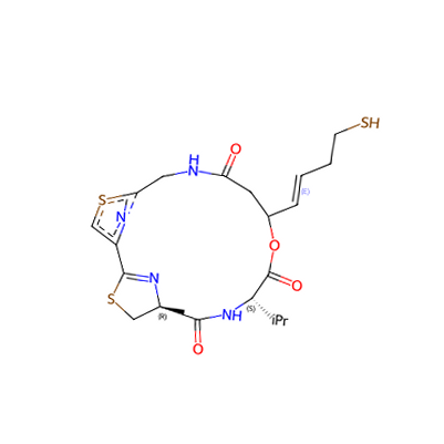 CC(C)[C@@H]1NC(=O)[C@]2(C)CSC(=N2)c2csc(n2)CNC(=O)CC(/C=C/CCS)OC1=O